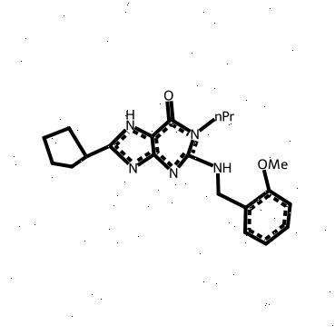 CCCn1c(NCc2ccccc2OC)nc2nc(C3CCCC3)[nH]c2c1=O